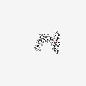 CC1(C)c2cc(N(c3ccc(C4CC5CCC4C5)cc3)c3cc4ccccc4cc3C3CCCCC3)ccc2-c2cccc(-c3ccc(-c4ccccc4)cc3)c21